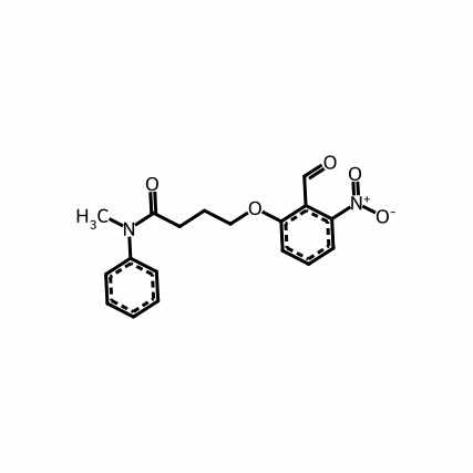 CN(C(=O)CCCOc1cccc([N+](=O)[O-])c1C=O)c1ccccc1